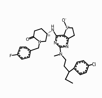 CCC(CCN(C)c1nc2c(c(N[C@H]3CCC(=O)N(Cc4ccc(F)cc4)C3)n1)[S+]([O-])CC2)c1ccc(Cl)cc1